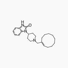 O=c1[nH]c2ccccc2n1C1CCN(CC2=CCCCCCCCC2)CC1